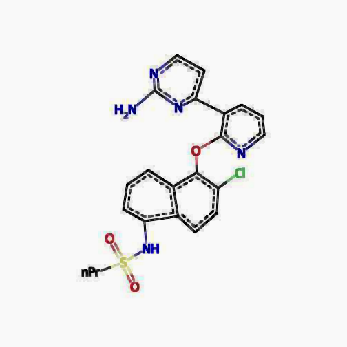 CCCS(=O)(=O)Nc1cccc2c(Oc3ncccc3-c3ccnc(N)n3)c(Cl)ccc12